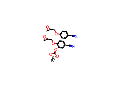 N#Cc1ccc(OCC2CO2)cc1.N#Cc1ccc(OCC2CO2)cc1.O=C([O-])[O-].[K+].[K+]